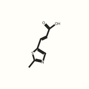 Cc1ncc(/C=C/C(=O)O)s1